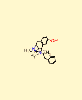 CN1CC[C@]2(C)c3cc(O)ccc3CC1[C@@H]2N(C)CCc1ccccc1